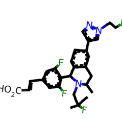 CC1Cc2cc(-c3cnn(CCF)c3)ccc2C(c2c(F)cc(/C=C/C(=O)O)cc2F)N1CC(C)(C)F